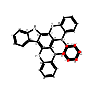 c1ccc(B2c3ccccc3Oc3c2c2c(c4c3oc3ccccc34)Oc3ccccc3B2c2ccccc2)cc1